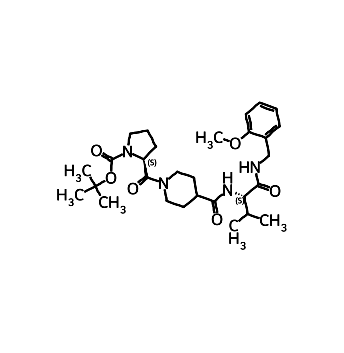 COc1ccccc1CNC(=O)[C@@H](NC(=O)C1CCN(C(=O)[C@@H]2CCCN2C(=O)OC(C)(C)C)CC1)C(C)C